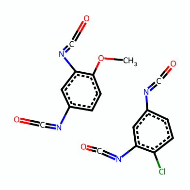 COc1ccc(N=C=O)cc1N=C=O.O=C=Nc1ccc(Cl)c(N=C=O)c1